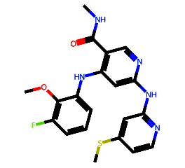 CNC(=O)c1cnc(Nc2cc(SC)ccn2)cc1Nc1cccc(F)c1OC